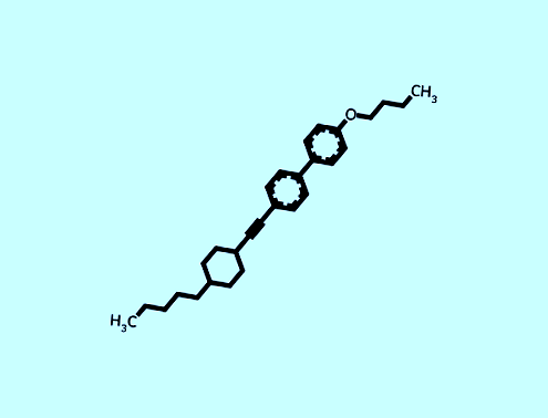 CCCCCC1CCC(C#Cc2ccc(-c3ccc(OCCCC)cc3)cc2)CC1